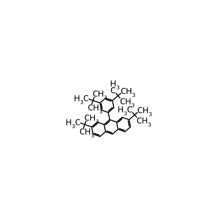 CC(C)(C)c1cc(-c2c3cc(C(C)(C)C)ccc3cc3ccc(C(C)(C)C)cc23)cc(C(C)(C)C)c1